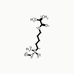 C=C(C)C(=O)OCCCCC[Si](C)(CC)OCC